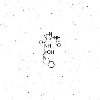 Cc1ccc2c(c1)CN(C[C@@H](O)CNC(=O)c1cc(NC3COC3)ncn1)CC2